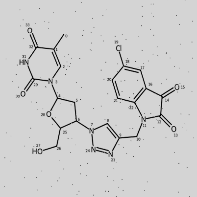 Cc1cn(C2CC(n3cc(CN4C(=O)C(=O)c5cc(Cl)ccc54)nn3)C(CO)O2)c(=O)[nH]c1=O